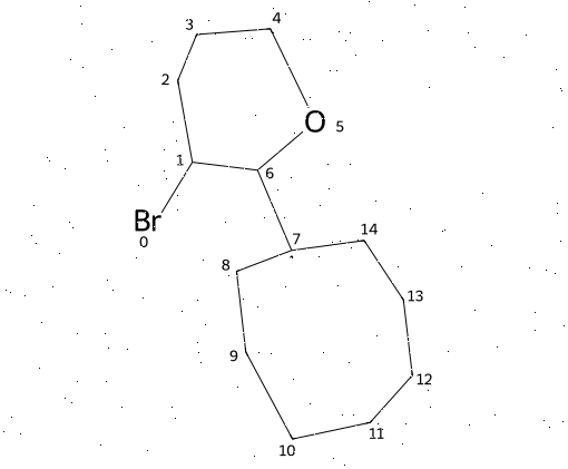 BrC1CCCOC1[C]1CCCCCCC1